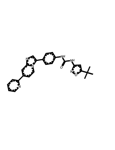 CC(C)(C)c1cc(NC(=O)Nc2ccc(-c3cnc4cc(-c5ccccn5)ccn34)cc2)no1